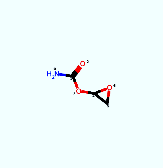 NC(=O)OC1CO1